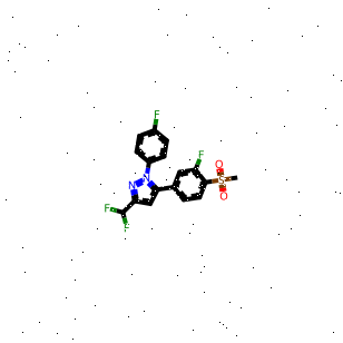 CS(=O)(=O)c1ccc(-c2cc(C(F)F)nn2-c2ccc(F)cc2)cc1F